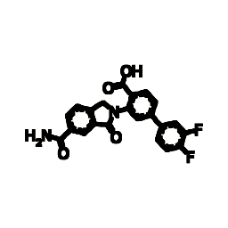 NC(=O)c1ccc2c(c1)C(=O)N(c1cc(-c3ccc(F)c(F)c3)ccc1C(=O)O)C2